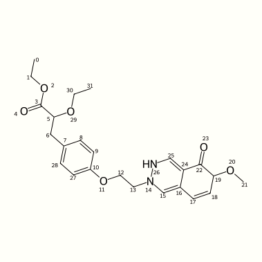 CCOC(=O)C(Cc1ccc(OCCN2C=C3C=CC(OC)C(=O)C3=CN2)cc1)OCC